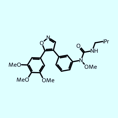 COc1cc(-c2oncc2-c2cccc(N(OC)C(=O)NCC(C)C)c2)cc(OC)c1OC